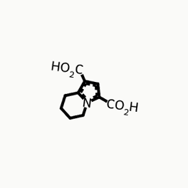 O=C(O)c1cc(C(=O)O)n2c1CCCC2